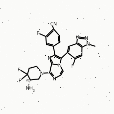 Cn1nnc2cc(-c3c(-c4ccc(C#N)c(F)c4)nc4c(N5CCC(F)(F)[C@@H](N)C5)nccn34)c(F)cc21